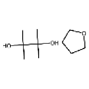 C1CCOC1.CC(C)(O)C(C)(C)O